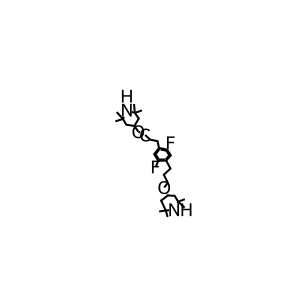 CC1(C)CC(OCCCc2cc(F)c(CCCOC3CC(C)(C)NC(C)(C)C3)cc2F)CC(C)(C)N1